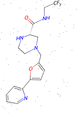 O=C(NCC(F)(F)F)[C@@H]1CN(Cc2ccc(-c3ccccn3)o2)CCN1